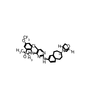 CP(C)(=O)c1cc(OC(F)(F)F)ccc1Nc1nc(Nc2ccc3c(c2)CC[C@H](N2C[C@H]4C[C@@H]2CO4)CC3)ncc1Cl